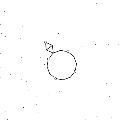 C1COCCOC2(COCCO1)C1OC12